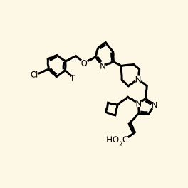 O=C(O)/C=C/c1cnc(CN2CCC(c3cccc(OCc4ccc(Cl)cc4F)n3)CC2)n1CC1CCC1